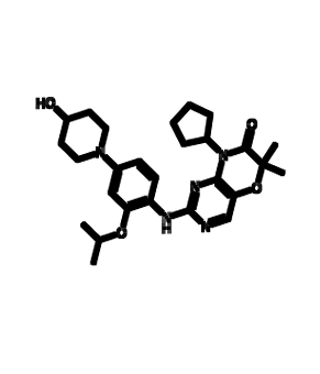 CC(C)Oc1cc(N2CCC(O)CC2)ccc1Nc1ncc2c(n1)N(C1CCCC1)C(=O)C(C)(C)O2